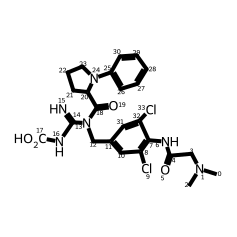 CN(C)CC(=O)Nc1c(Cl)cc(CN(C(=N)NC(=O)O)C(=O)C2CCCN2c2ccccc2)cc1Cl